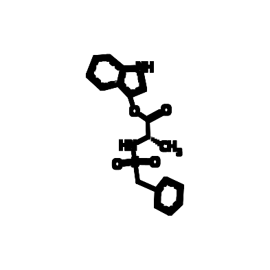 C[C@H](NS(=O)(=O)Cc1ccccc1)C(=O)Oc1c[nH]c2ccccc12